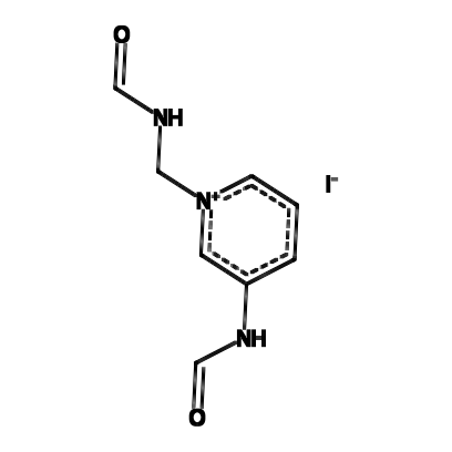 O=CNC[n+]1cccc(NC=O)c1.[I-]